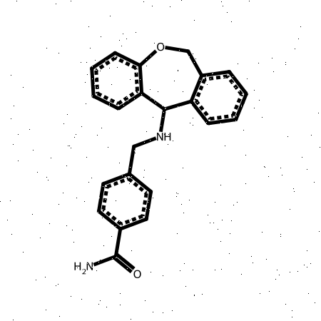 NC(=O)c1ccc(CNC2c3ccccc3COc3ccccc32)cc1